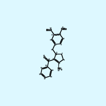 COc1ccc(CN2CCC(N)=C2C(=O)c2ccccc2)cc1OC